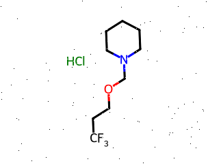 Cl.FC(F)(F)CCOCN1CCCCC1